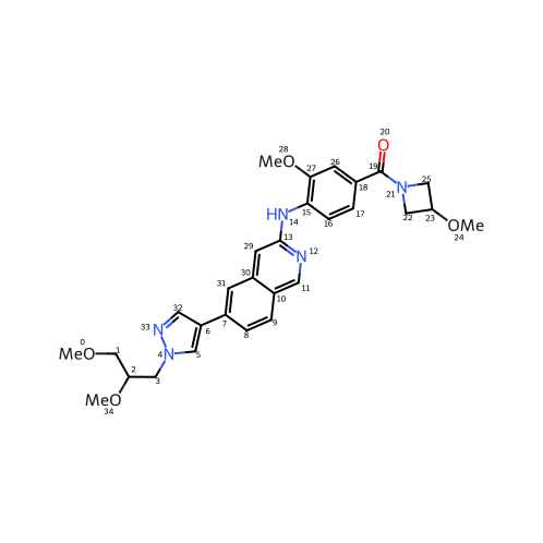 COCC(Cn1cc(-c2ccc3cnc(Nc4ccc(C(=O)N5CC(OC)C5)cc4OC)cc3c2)cn1)OC